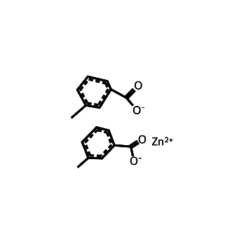 Cc1cccc(C(=O)[O-])c1.Cc1cccc(C(=O)[O-])c1.[Zn+2]